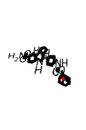 NS(=O)(=O)c1ccc2c(c1)[C@H]1C=CC[C@H]1[C@@H](c1ccc(NC(=O)OC3C4CC5CC(C4)CC3C5)cc1)N2